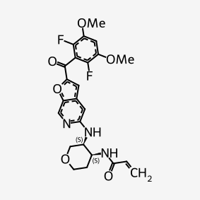 C=CC(=O)N[C@H]1CCOC[C@H]1Nc1cc2cc(C(=O)c3c(F)c(OC)cc(OC)c3F)oc2cn1